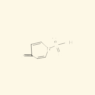 CS(=O)(=O)n1ccc(=O)cc1